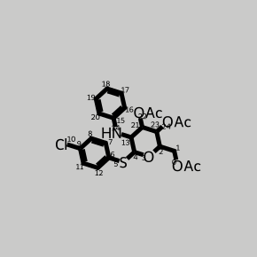 CC(=O)OCC1OC(Sc2ccc(Cl)cc2)C(Nc2ccccc2)C(OC(C)=O)C1OC(C)=O